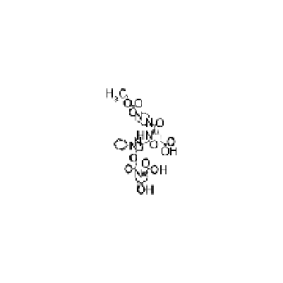 CCOC(=O)ON1CCN(C(=O)[C@H](CCC(=O)O)NC(=O)c2cc(OCC(=O)N3C[C@H](O)C[C@@H]3C(=O)O)n(-c3ccccc3)n2)CC1